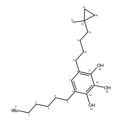 CC(C)(C)CCCCCc1cc(CCCCC2(C)CC2)c(O)c(O)c1O